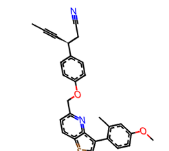 CC#C[C@@H](CC#N)c1ccc(OCc2ccc3scc(-c4ccc(OC)cc4C)c3n2)cc1